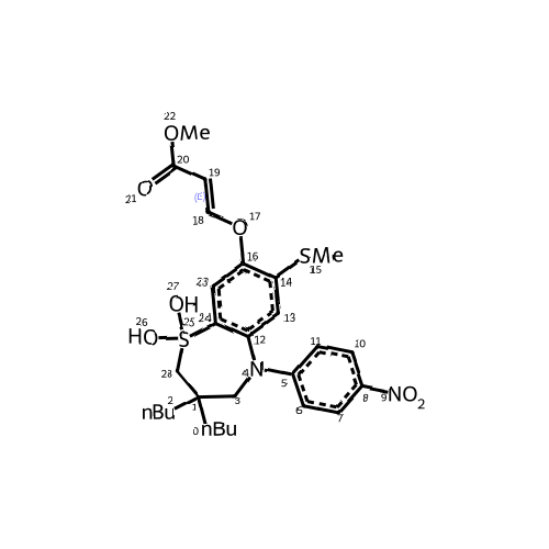 CCCCC1(CCCC)CN(c2ccc([N+](=O)[O-])cc2)c2cc(SC)c(O/C=C/C(=O)OC)cc2S(O)(O)C1